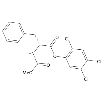 COC(=O)N[C@H](Cc1ccccc1)C(=O)Oc1cc(Cl)c(Cl)cc1Cl